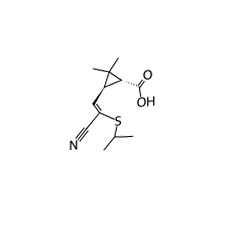 CC(C)S/C(C#N)=C\[C@@H]1[C@@H](C(=O)O)C1(C)C